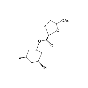 CC(=O)OC1CS[C@H](C(=O)OC2C[C@H](C)C[C@H](C(C)C)C2)O1